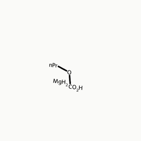 CCCOC(=O)O.[MgH2]